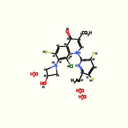 O.O.O.O=C(O)c1cn(-c2nc([AsH2])c(F)cc2F)c2c(Cl)c(N3CC(O)C3)c(F)cc2c1=O